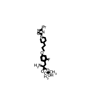 CC(C)c1noc(N2CCC(CCCOc3ccc(CC(N)C(=O)OC(C)(C)O)c(F)c3)CC2)n1